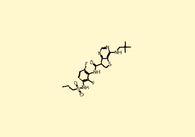 CCCS(=O)(=O)Nc1ccc(F)c(NC(=O)C2CSc3c(NCC(C)(C)C)ncnc32)c1F